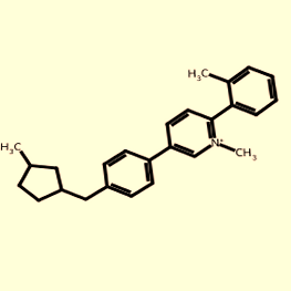 Cc1ccccc1-c1ccc(-c2ccc(CC3CCC(C)C3)cc2)c[n+]1C